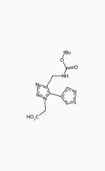 CC(C)(C)OC(=O)NCc1nnn(CC(=O)O)c1-c1ccsc1